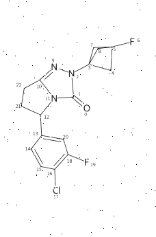 O=c1n(C23CC(F)(C2)C3)nc2n1C(c1ccc(Cl)c(F)c1)CC2